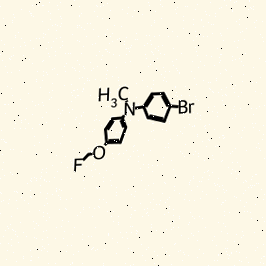 CN(c1ccc(Br)cc1)c1ccc(OCF)cc1